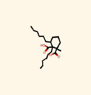 CCCCCCC1CCCC(C)(C(=O)O)C1(CCCCCC)C(=O)O